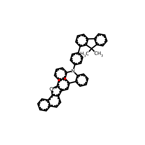 CC1(C)c2ccccc2-c2cccc(-c3ccc(N(c4ccccc4)c4ccccc4-c4ccc5oc6c7ccccc7ccc6c5c4)cc3)c21